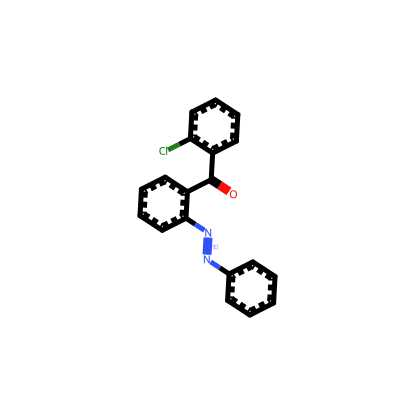 O=C(c1ccccc1Cl)c1ccccc1/N=N/c1ccccc1